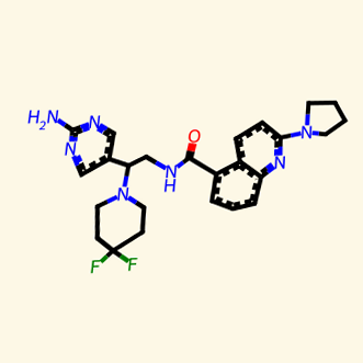 Nc1ncc(C(CNC(=O)c2cccc3nc(N4CCCC4)ccc23)N2CCC(F)(F)CC2)cn1